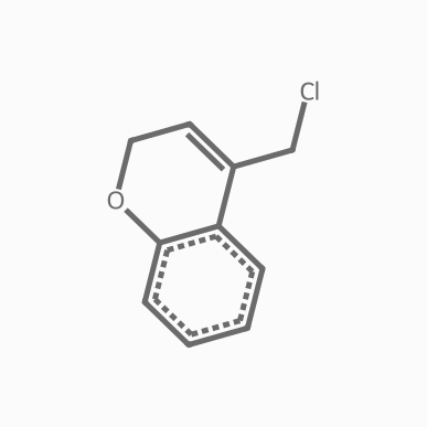 ClCC1=CCOc2ccccc21